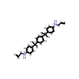 C=CCNc1ccc(C(C)(C)c2ccc(C(C)(C)c3ccc(NCC=C)cc3)cc2)cc1